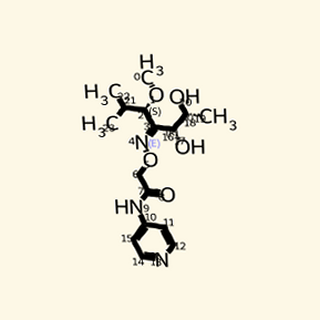 CO[C@H](/C(=N/OCC(=O)Nc1ccncc1)[C@@H](O)[C@@H](C)O)C(C)C